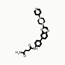 NC(=O)CCC(=O)Nc1ccc(-c2ccc3ncc(N4CCN(c5ccncc5)CC4)nc3c2)cc1